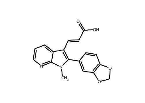 Cn1c(-c2ccc3c(c2)OCO3)c(C=CC(=O)O)c2cccnc21